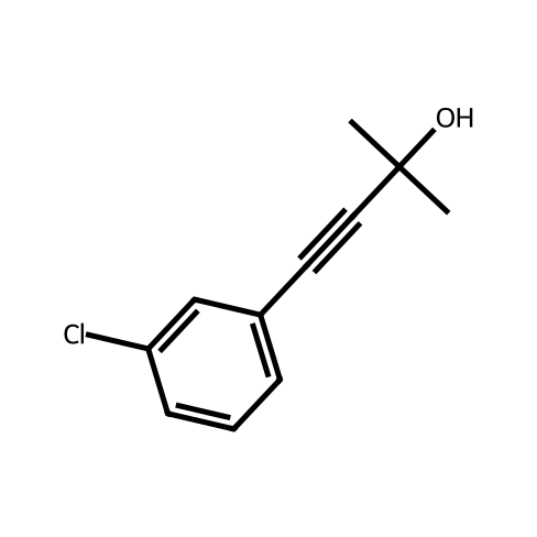 CC(C)(O)C#Cc1cccc(Cl)c1